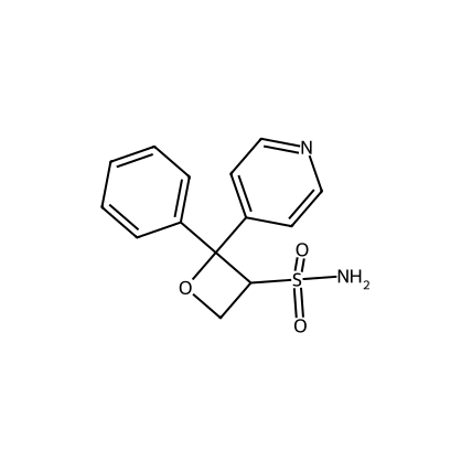 NS(=O)(=O)C1COC1(c1ccccc1)c1ccncc1